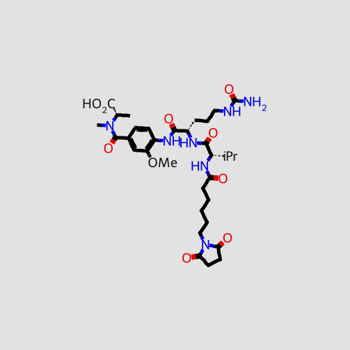 COc1cc(C(=O)N(C)[C@@H](C)C(=O)O)ccc1NC(=O)[C@H](CCCNC(N)=O)NC(=O)[C@@H](NC(=O)CCCCCN1C(=O)CCC1=O)C(C)C